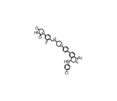 CC(=O)N1c2ccc(-c3ccc(N4CCC(N(C)Cc5ccc(N6CCC(=O)NC6=O)cc5F)CC4)cc3)cc2C(Nc2ccc(Cl)cc2)CC1C